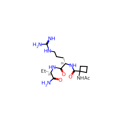 CC[C@H](NC(=O)[C@H](CCCNC(=N)N)NC(=O)C1(NC(C)=O)CCC1)C(N)=O